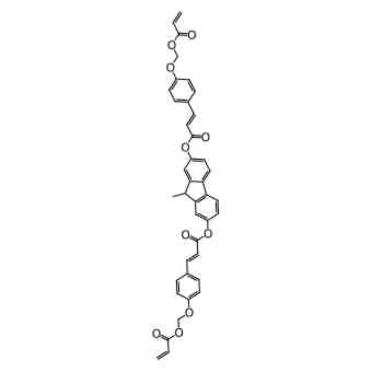 C=CC(=O)OCOc1ccc(C=CC(=O)Oc2ccc3c(c2)C(C)c2cc(OC(=O)C=Cc4ccc(OCOC(=O)C=C)cc4)ccc2-3)cc1